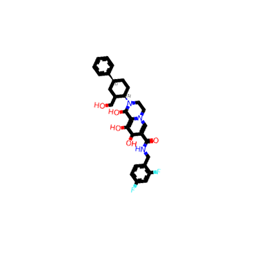 O=C(NCc1ccc(F)cc1F)C1=CN2CCN([C@H]3CC[C@H](c4ccccc4)CC3CO)C(O)C2=C(O)C1O